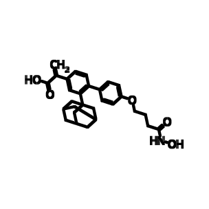 C=C(C(=O)O)c1ccc(-c2ccc(OCCCC(=O)NO)cc2)c(C23CC4CC(CC(C4)C2)C3)c1